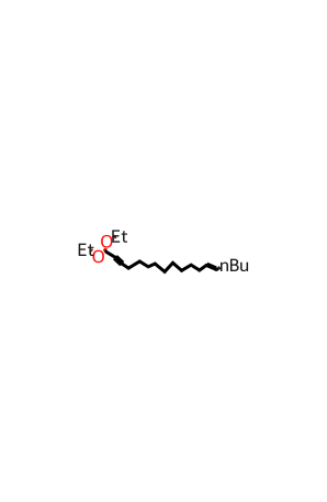 CCCCC=CCCCCCCCCCC#CC(OCC)OCC